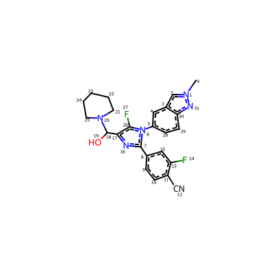 Cn1cc2cc(-n3c(-c4ccc(C#N)c(F)c4)nc(C(O)N4CCCCC4)c3F)ccc2n1